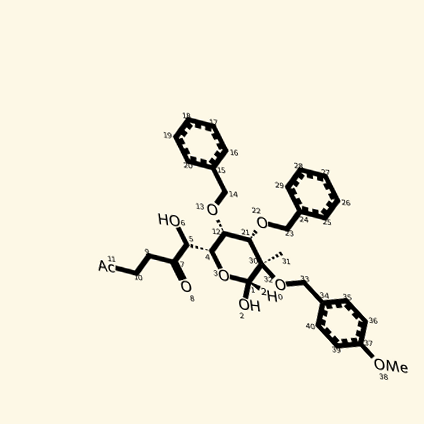 [2H][C@@]1(O)O[C@H](C(O)C(=O)CCC(C)=O)[C@H](OCc2ccccc2)[C@H](OCc2ccccc2)[C@@]1(C)OCc1ccc(OC)cc1